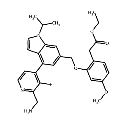 CCOC(=O)Cc1ccc(OC)cc1OCc1cc(-c2ccnc(CN)c2F)c2ccn(C(C)C)c2c1